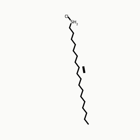 C=C.CCCCCCCCCCCCCCCCCC[SiH2]Cl